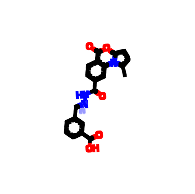 Cc1ccc2oc(=O)c3ccc(C(=O)N/N=C/c4cccc(C(=O)O)c4)cc3n12